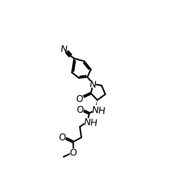 COC(=O)CCNC(=O)N[C@H]1CCN(c2ccc(C#N)cc2)C1=O